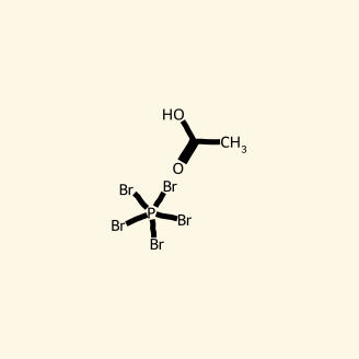 BrP(Br)(Br)(Br)Br.CC(=O)O